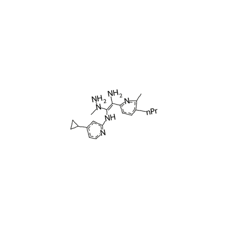 CCCc1ccc(/C(N)=C(\Nc2cc(C3CC3)ccn2)N(C)N)nc1C